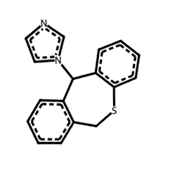 c1ccc2c(c1)CSc1ccccc1C2n1ccnc1